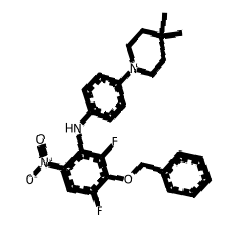 CC1(C)CCN(c2ccc(Nc3c([N+](=O)[O-])cc(F)c(OCc4ccccc4)c3F)cc2)CC1